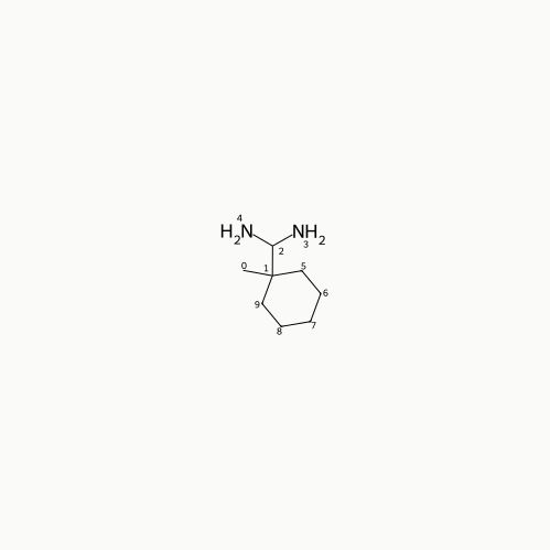 CC1(C(N)N)CCCCC1